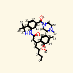 CCCCCC(CC(=O)Nc1cc(C(=O)N2CCN(C)CC2)ccc1C(C)(C)C)c1ccc(C)cc1OC